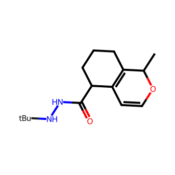 CC1OC=CC2=C1CCCC2C(=O)NNC(C)(C)C